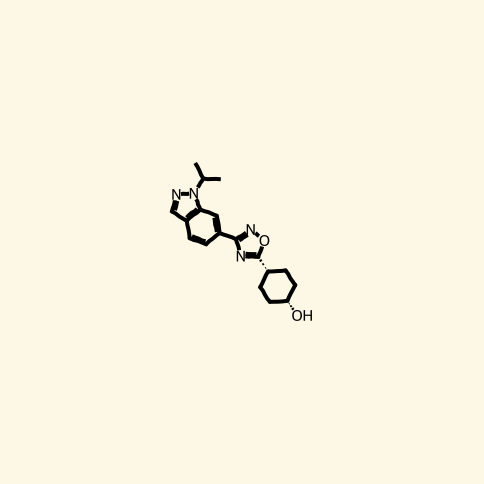 CC(C)n1ncc2ccc(-c3noc([C@H]4CC[C@@H](O)CC4)n3)cc21